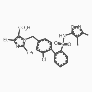 CCCc1nc(CC)c(C(=O)O)n1Cc1ccc(-c2ccccc2S(=O)(=O)Nc2onc(C)c2C)c(Cl)c1